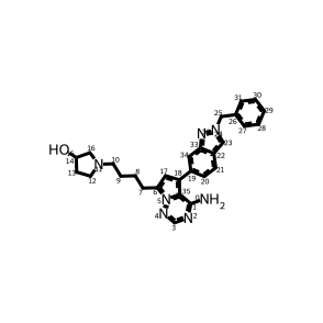 Nc1ncnn2c(CCCCN3CCC(O)C3)cc(-c3ccc4cn(Cc5ccccc5)nc4c3)c12